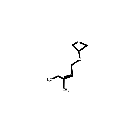 CCC(C)=CCOC1COC1